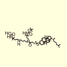 CC(C)CCCC(C)[C@H]1CC[C@H]2[C@@H]3CC=C4C[C@@H](SSCCC(=O)N(CCCCNCCC(C)(C)NC(=O)O)CCC(C)(C)NC(=O)OC(C)(C)C)CC[C@]4(C)[C@H]3CC[C@]12C